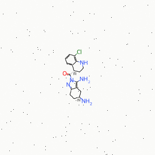 Nc1c2c(nn1C(=O)[C@H]1CCNc3c(Cl)cccc31)CC[C@H](N)C2